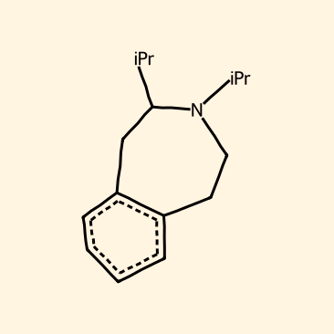 CC(C)C1Cc2ccccc2CCN1C(C)C